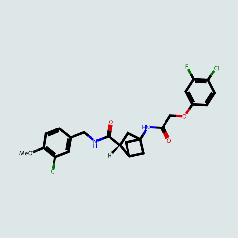 COc1ccc(CNC(=O)[C@@H]2CC3(NC(=O)COc4ccc(Cl)c(F)c4)CC2C3)cc1Cl